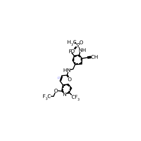 C#Cc1cc(CNC(=O)/C=C\c2ccc(C(F)(F)F)nc2OCC(F)(F)F)cc(F)c1NS(C)(=O)=O